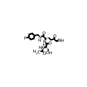 CC(=O)N[C@@H](CO)C(=O)N[C@@H](CCC(=O)C=N)C(=O)NCc1ccc(F)cc1